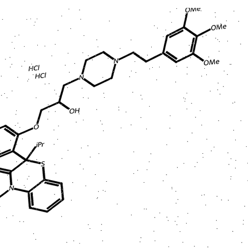 COc1cc(CCN2CCN(CC(O)COc3ccccc3C3(C(C)C)Sc4ccccc4N(C)C3=O)CC2)cc(OC)c1OC.Cl.Cl